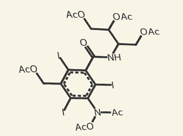 CC(=O)OCc1c(I)c(C(=O)NC(COC(C)=O)C(COC(C)=O)OC(C)=O)c(I)c(N(OC(C)=O)C(C)=O)c1I